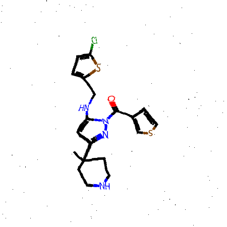 CC1(c2cc(NCc3ccc(Cl)s3)n(C(=O)c3ccsc3)n2)CCNCC1